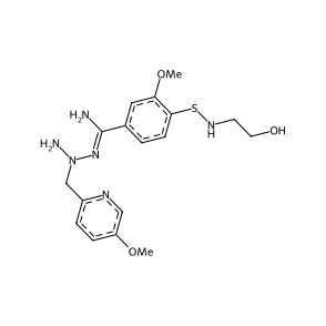 COc1ccc(CN(N)/N=C(\N)c2ccc(SNCCO)c(OC)c2)nc1